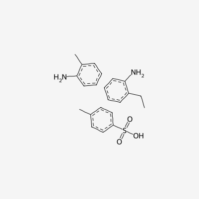 CCc1ccccc1N.Cc1ccc(S(=O)(=O)O)cc1.Cc1ccccc1N